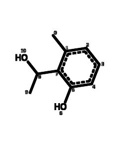 Cc1cccc(O)c1C(C)O